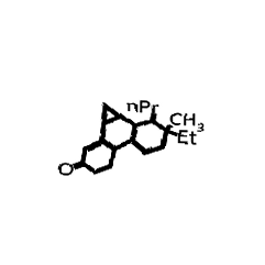 CCCC1C2C(CCC1(C)CC)C1CCC(=O)C=C1C1CC12